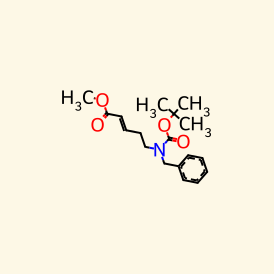 COC(=O)C=CCCN(Cc1ccccc1)C(=O)OC(C)(C)C